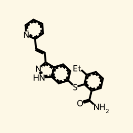 CCc1cccc(C(N)=O)c1Sc1ccc2c(/C=C/c3ccccn3)n[nH]c2c1